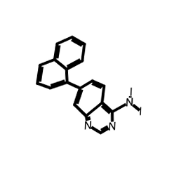 IN(I)c1ncnc2cc(-c3cccc4ccccc34)ccc12